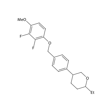 CCC1CCC(c2ccc(COc3ccc(OC)c(F)c3F)cc2)CO1